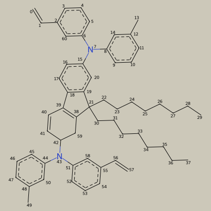 C=Cc1cccc(N(c2cccc(C)c2)c2ccc3c(c2)C(CCCCCCCC)(CCCCCCCC)C2=C3C=CC(N(c3cccc(C)c3)c3cccc(C=C)c3)C2)c1